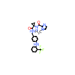 Cn1ccnc1C(=O)NC1(C(=O)NCc2ccc(Nc3ccccc3C(F)(F)F)cc2)CC1